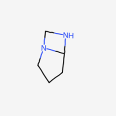 C1CC2NCN2C1